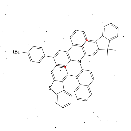 CC(C)(C)c1ccc(-c2ccc(N(c3ccc4c(c3)C(C)(C)c3ccccc3-4)c3ccc4ccccc4c3-c3cccc4sc5ccccc5c34)c(-c3ccccc3)c2)cc1